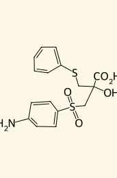 Nc1ccc(S(=O)(=O)CC(O)(CSc2ccccc2)C(=O)O)cc1